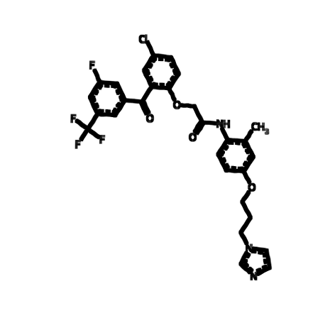 Cc1cc(OCCCn2ccnc2)ccc1NC(=O)COc1ccc(Cl)cc1C(=O)c1cc(F)cc(C(F)(F)F)c1